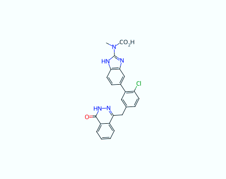 CN(C(=O)O)c1nc2cc(-c3cc(Cc4n[nH]c(=O)c5ccccc45)ccc3Cl)ccc2[nH]1